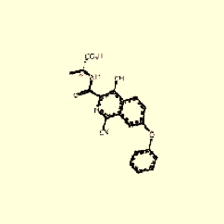 C[C@@H](NC(=O)c1nc(C#N)c2cc(Oc3ccccc3)ccc2c1O)C(=O)O